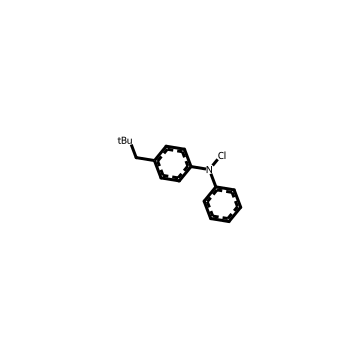 CC(C)(C)Cc1ccc(N(Cl)c2ccccc2)cc1